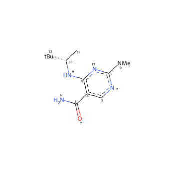 CNc1ncc(C(N)=O)c(N[C@@H](C)C(C)(C)C)n1